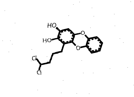 Oc1cc2c(c(CCCC(Cl)Cl)c1O)Oc1ccccc1O2